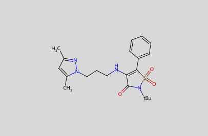 Cc1cc(C)n(CCCNC2=C(c3ccccc3)S(=O)(=O)N(C(C)(C)C)C2=O)n1